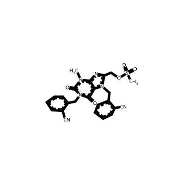 Cn1c(=O)n(Cc2ccccc2C#N)c(=O)c2c1nc(COS(C)(=O)=O)n2Cc1ccccc1C#N